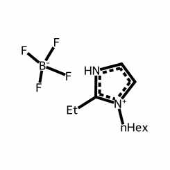 CCCCCC[n+]1cc[nH]c1CC.F[B-](F)(F)F